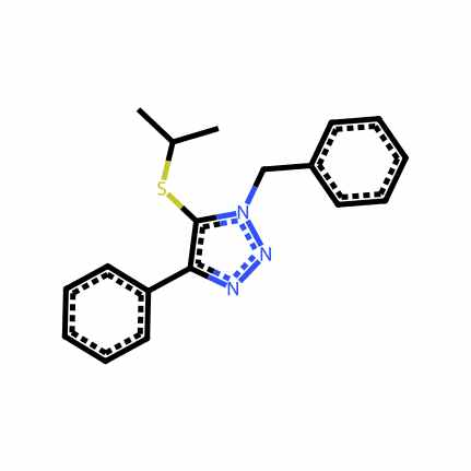 CC(C)Sc1c(-c2ccccc2)nnn1Cc1ccccc1